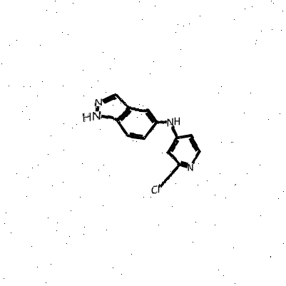 Clc1cc(Nc2ccc3[nH]ncc3c2)ccn1